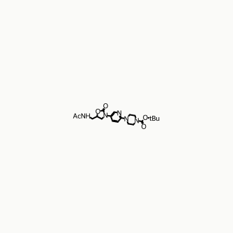 CC(=O)NCC1CN(c2ccc(N3CCN(C(=O)OC(C)(C)C)CC3)nc2)C(=O)O1